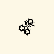 COCP(C=O)(c1ccccc1)(c1ccccc1)c1ccccc1